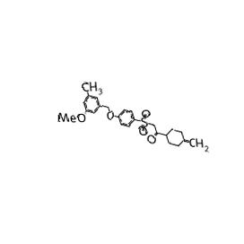 C=C1CCC(C(=O)CS(=O)(=O)c2ccc(OCc3cc(C)cc(OC)c3)cc2)CC1